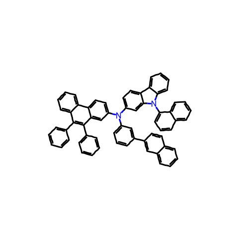 c1ccc(-c2c(-c3ccccc3)c3cc(N(c4cccc(-c5ccc6ccccc6c5)c4)c4ccc5c6ccccc6n(-c6cccc7ccccc67)c5c4)ccc3c3ccccc23)cc1